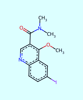 COc1c(C(=O)N(C)C)cnc2ccc(I)cc12